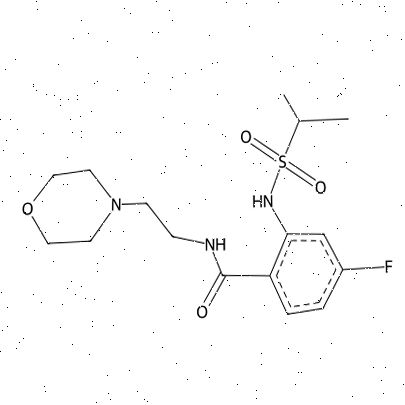 CC(C)S(=O)(=O)Nc1cc(F)ccc1C(=O)NCCN1CCOCC1